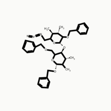 CC1[C@H](OCc2ccccc2)OC(COCc2ccccc2)[C@@H](O[C@@H]2OC(CN=[N+]=[N-])[C@@H](C)[C@H](C)C2OCc2ccccc2)[C@@H]1C